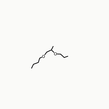 CCCCOCC(C)OCCC